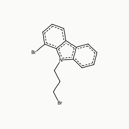 BrCCCn1c2ccccc2c2cccc(Br)c21